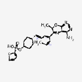 C\C=C/C(=C\C=C\[C@H]1CC[C@H](OP(=O)(O)c2cccs2)CC1)C1=Nc2c(N)ncnc2OC1C